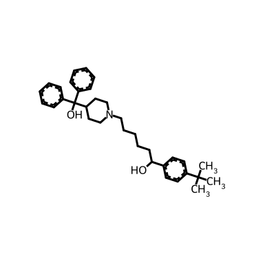 CC(C)(C)c1ccc(C(O)CCCCCN2CCC(C(O)(c3ccccc3)c3ccccc3)CC2)cc1